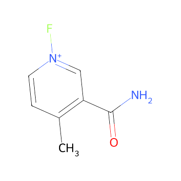 Cc1cc[n+](F)cc1C(N)=O